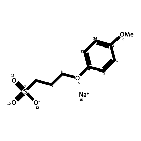 COc1ccc(OCCCS(=O)(=O)[O-])cc1.[Na+]